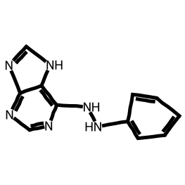 c1ccc(NNc2ncnc3nc[nH]c23)cc1